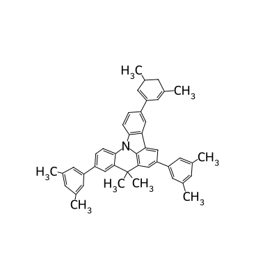 CC1=CC(c2ccc3c(c2)c2cc(-c4cc(C)cc(C)c4)cc4c2n3-c2ccc(-c3cc(C)cc(C)c3)cc2C4(C)C)=CC(C)C1